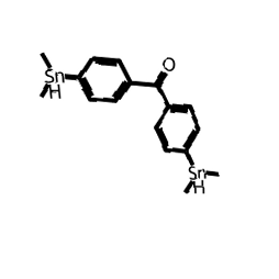 [CH3][SnH]([CH3])[c]1ccc(C(=O)c2cc[c]([SnH]([CH3])[CH3])cc2)cc1